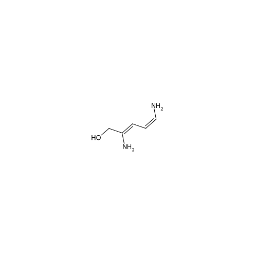 N/C=C\C=C(/N)CO